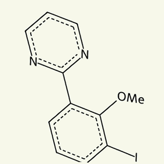 COc1c(I)cccc1-c1ncccn1